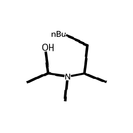 CCCCCC(C)N(C)C(C)O